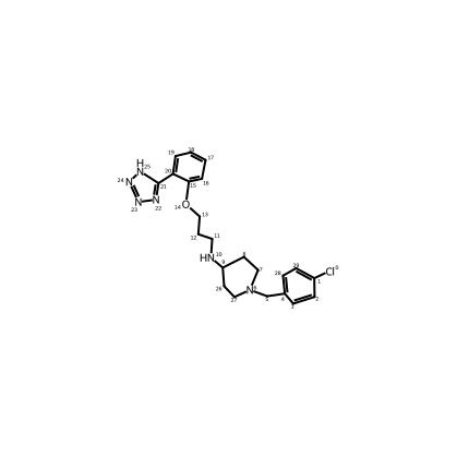 Clc1ccc(CN2CCC(NCCCOc3ccccc3-c3nnn[nH]3)CC2)cc1